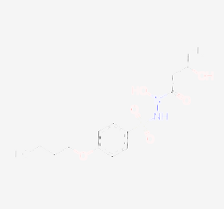 CCCCOc1ccc(S(=O)(=O)NN(O)C(=O)CC(C)O)cc1